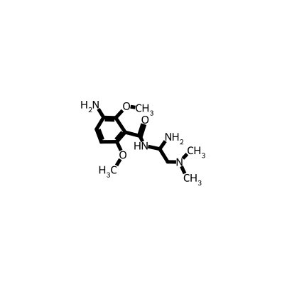 COc1ccc(N)c(OC)c1C(=O)NC(N)CN(C)C